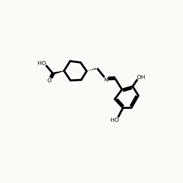 O=C(O)[C@H]1CC[C@H](CN=Cc2cc(O)ccc2O)CC1